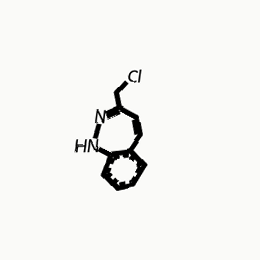 ClCC1=NNc2ccccc2C=C1